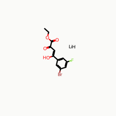 CCOC(=O)C(=O)C=C(O)c1cc(F)cc(Br)c1.[LiH]